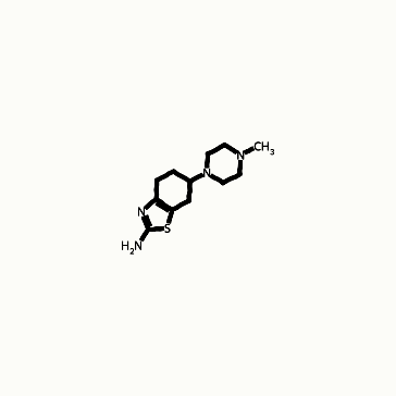 CN1CCN(C2CCc3nc(N)sc3C2)CC1